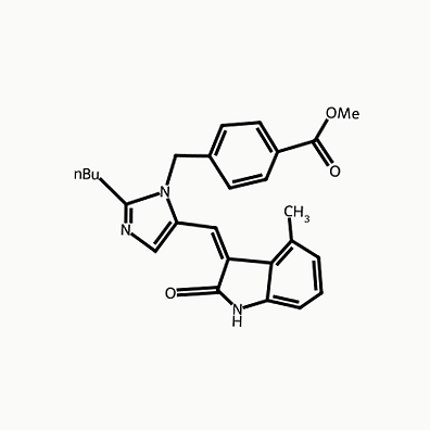 CCCCc1ncc(/C=C2\C(=O)Nc3cccc(C)c32)n1Cc1ccc(C(=O)OC)cc1